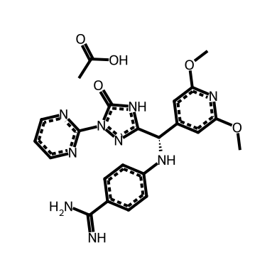 CC(=O)O.COc1cc([C@H](Nc2ccc(C(=N)N)cc2)c2nn(-c3ncccn3)c(=O)[nH]2)cc(OC)n1